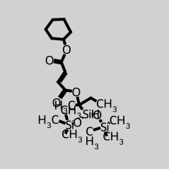 CCC(C)(OC(=O)C=CC(=O)OC1CCCCC1)[SiH](O[Si](C)(C)C)O[Si](C)(C)C